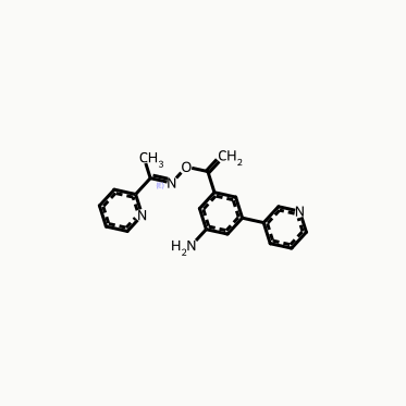 C=C(O/N=C(\C)c1ccccn1)c1cc(N)cc(-c2cccnc2)c1